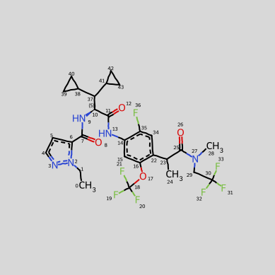 CCn1nccc1C(=O)N[C@H](C(=O)Nc1cc(OC(F)(F)F)c(C(C)C(=O)N(C)CC(F)(F)F)cc1F)C(C1CC1)C1CC1